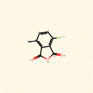 Cc1ccc(F)c2c1C(=O)OC2=O